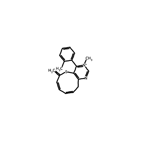 C=C1/C=C\C=C/Cc2nc[n+](C)c(-c3ccccc3C)c2S1